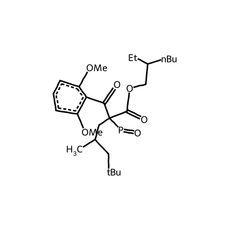 CCCCC(CC)COC(=O)C(CC(C)CC(C)(C)C)(P=O)C(=O)c1c(OC)cccc1OC